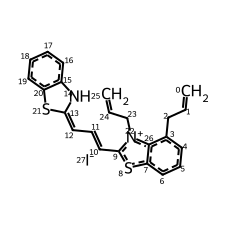 C=CCc1cccc2sc(C=CC=C3Nc4ccccc4S3)[n+](CC=C)c12.[I-]